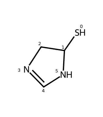 SC1CN=CN1